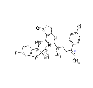 C/C=C(\CCN(C)c1nc2c(c(N[C@H](c3ccc(F)cc3)C(C)(C)O)n1)[S+]([O-])CC2)c1ccc(Cl)cc1